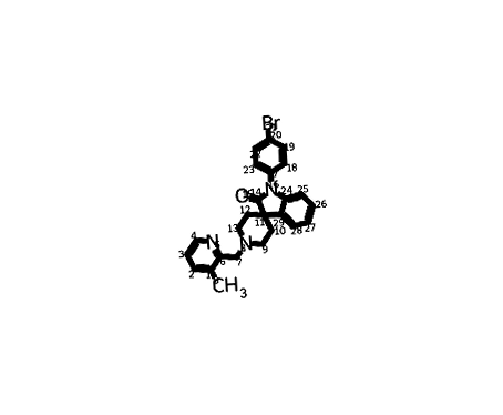 Cc1cccnc1CN1CCC2(CC1)C(=O)N(c1ccc(Br)cc1)c1ccccc12